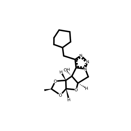 C[C@@H]1O[C@H]2O[C@@H]3Cn4nnc(CC5CCCCC5)c4[C@]3(O)[C@H]2O1